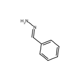 NN=[C]c1ccccc1